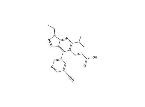 C#Cc1cncc(-c2c(C=CC(=O)O)c(C(C)C)nc3c2cnn3CC)c1